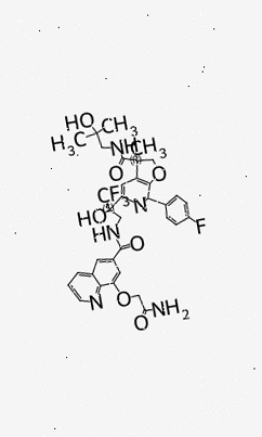 CC(C)(O)CNC(=O)[C@@]1(C)COc2c1cc([C@@](O)(CNC(=O)c1cc(OCC(N)=O)c3ncccc3c1)C(F)(F)F)nc2-c1ccc(F)cc1